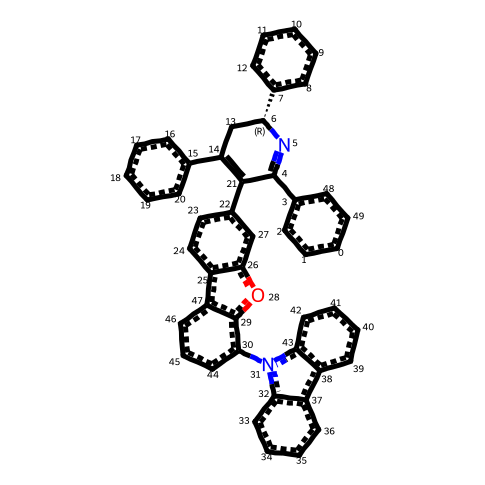 c1ccc(C2=N[C@@H](c3ccccc3)CC(c3ccccc3)=C2c2ccc3c(c2)oc2c(-n4c5ccccc5c5ccccc54)cccc23)cc1